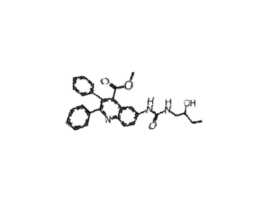 CCC(O)CNC(=O)Nc1ccc2nc(-c3ccccc3)c(-c3ccccc3)c(C(=O)OC)c2c1